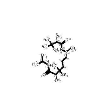 CC(C)NC(=O)[C@H](C)C(C)(C)CCC[SH](C)NC(=O)[C@@H](C)C(C)(C)C